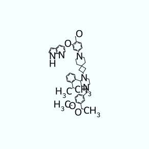 COc1ccc(CN2CCN(C3CC4(CCN(c5ccc(C=O)c(Oc6cnc7[nH]ccc7c6)c5)CC4)C3)C(c3ccccc3C(C)C)C2)cc1C(C)=O